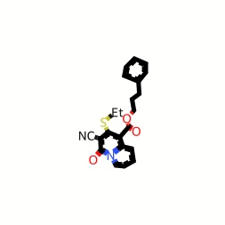 CCSc1c(C#N)c(=O)n2ccccc2c1C(=O)OCCCc1ccccc1